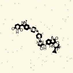 C[C@@H]1CN(c2ncc(Cl)c(Nc3ccc4c(c3)c3c(c(=O)n4C)OCC(F)(F)C(C4CC4)N3)n2)CC[C@@H]1CN1CCN(c2ccc3c(C4CCC(=O)NC4=O)nn(C)c3c2)CC1